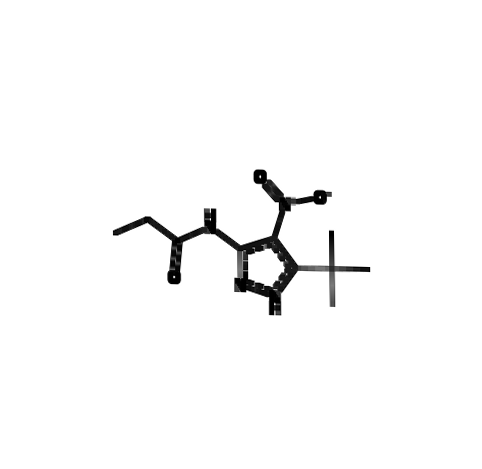 CCC(=O)Nc1n[nH]c(C(C)(C)C)c1[N+](=O)[O-]